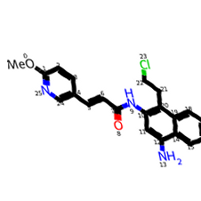 COc1ccc(/C=C/C(=O)Nc2cc(N)c3ccccc3c2CCCl)cn1